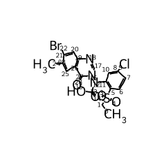 CCS(=O)(=O)c1ccc(Cl)cc1N(C(=O)O)n1cnc2cc(Br)c(C)cc2c1=O